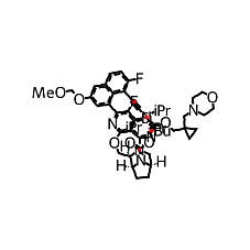 COCOc1cc(-c2nc3c4c(nc(OCC5(CN6CCOCC6)CC5)nc4c2F)N2C[C@H]4CC[C@@H]([C@H]2CO3)N4C(=O)OC(C)(C)C)c2c(C#C[Si](C(C)C)(C(C)C)C(C)C)c(F)ccc2c1